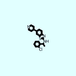 CC(Nc1nc2ccc(-c3ccncc3)cc2s1)c1ccccc1Cl